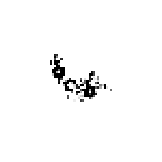 COc1ccc(OC)c(S(=O)(=O)N2CCC(Oc3ccc(C(F)(F)F)cc3)CC2)c1C(=O)NO